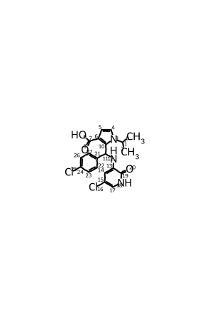 CC(C)n1ccc(C(=O)O)c1C(Nc1cc(Cl)c[nH]c1=O)c1ccc(Cl)cc1